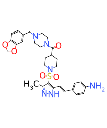 Cc1n[nH]c(/C=C/c2ccc(N)cc2)c1S(=O)(=O)N1CCC(C(=O)N2CCN(Cc3ccc4c(c3)OCO4)CC2)CC1